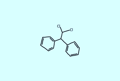 ClC(Cl)C(c1ccccc1)c1ccccc1